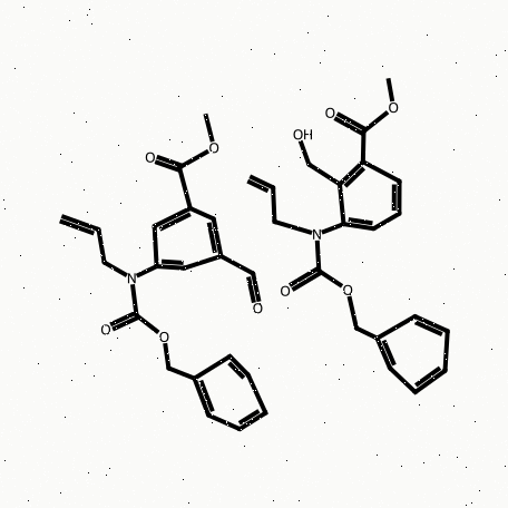 C=CCN(C(=O)OCc1ccccc1)c1cc(C=O)cc(C(=O)OC)c1.C=CCN(C(=O)OCc1ccccc1)c1cccc(C(=O)OC)c1CO